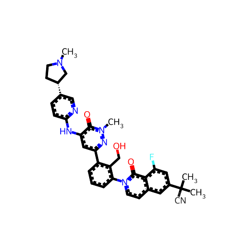 CN1CC[C@@H](c2ccc(Nc3cc(-c4cccc(-n5ccc6cc(C(C)(C)C#N)cc(F)c6c5=O)c4CO)nn(C)c3=O)nc2)C1